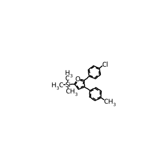 Cc1ccc(-c2cc([Si](C)(C)C)oc2-c2ccc(Cl)cc2)cc1